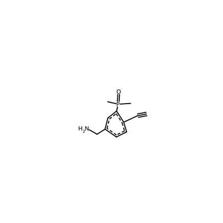 C#Cc1ccc(CN)cc1P(C)(C)=O